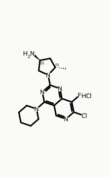 C[C@H]1C[C@H](N)CN1c1nc(N2CCCCC2)c2cnc(Cl)c(F)c2n1.Cl